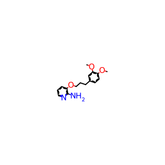 COc1ccc(CCCOc2cccnc2N)cc1OC